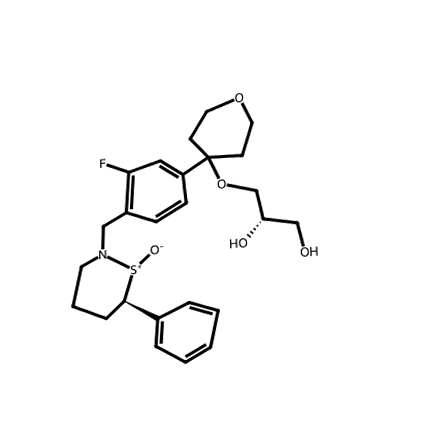 [O-][S+]1[C@@H](c2ccccc2)CCCN1Cc1ccc(C2(OC[C@@H](O)CO)CCOCC2)cc1F